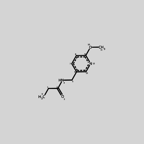 CCC(=O)NCc1ccc(OC)nc1